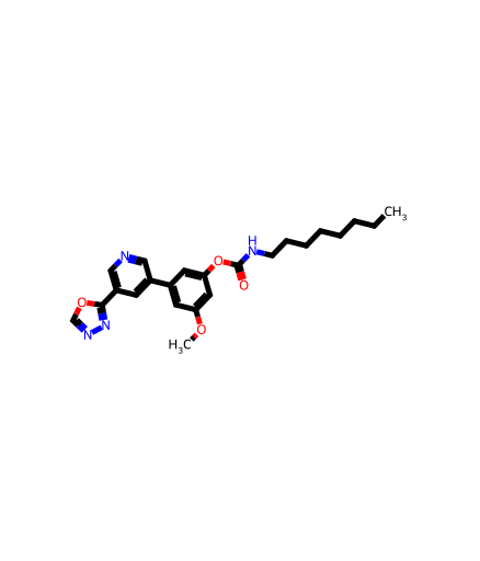 CCCCCCCCNC(=O)Oc1cc(OC)cc(-c2cncc(-c3nnco3)c2)c1